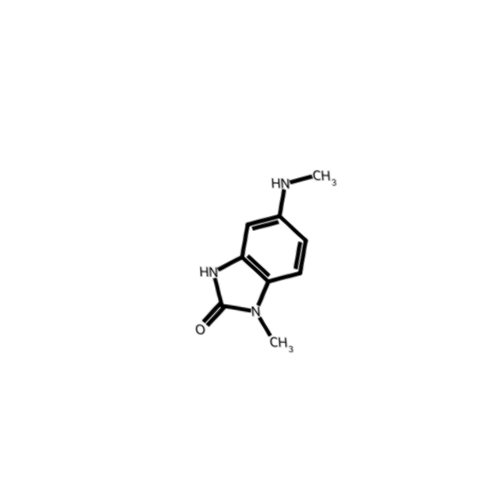 CNc1ccc2c(c1)[nH]c(=O)n2C